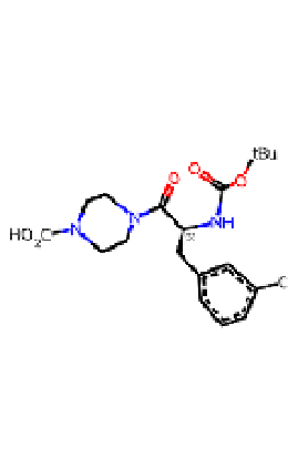 CC(C)(C)OC(=O)N[C@@H](Cc1cccc(C#N)c1)C(=O)N1CCN(C(=O)O)CC1